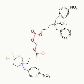 C[N+](CCCOC(=O)OCOC(=O)CCC[N+]1(Cc2ccc([N+](=O)[O-])cc2)CCC(F)(F)CC1)(Cc1ccccc1)Cc1ccc([N+](=O)[O-])cc1